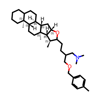 Cc1ccc(COCC(CCC2O[C@H]3C[C@H]4[C@@H]5CCC6CCCC[C@]6(C)[C@H]5CC[C@]4(C)[C@H]3[C@@H]2C)CN(C)C)cc1